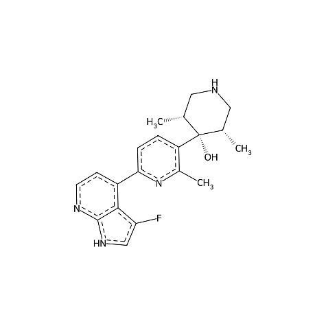 Cc1nc(-c2ccnc3[nH]cc(F)c23)ccc1[C@@]1(O)[C@H](C)CNC[C@@H]1C